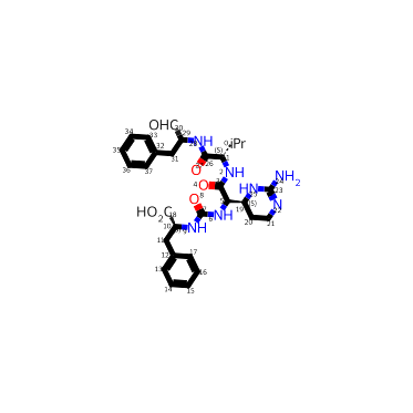 CC(C)[C@H](NC(=O)C(NC(=O)N[C@@H](Cc1ccccc1)C(=O)O)[C@@H]1CCN=C(N)N1)C(=O)NC(C=O)Cc1ccccc1